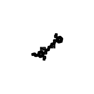 CC=Cc1ccc(OC(O)CCNCCOc2ccccc2OC)c(OC)c1